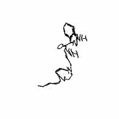 CCCCN1CCN(CCNC(=O)c2n[nH]c3ccccc23)CC1